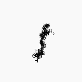 Nc1ncnc2c1c(-c1ccc(Oc3ccccc3)cc1)nn2[C@@H]1CCCN(C(=O)CCCN2CCN(C(=O)CCCCNc3cccc4c3CN(C3CCC(=O)NC3=O)C4=O)CC2)C1